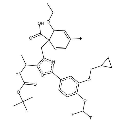 CCOC1C=C(F)C=CC1(Cc1nc(-c2ccc(OC(F)F)c(OCC3CC3)c2)oc1C(C)NC(=O)OC(C)(C)C)C(=O)O